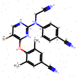 Cc1cc(C#N)cc(C)c1Oc1nc(N(CC#N)c2ccc(C#N)cc2)ncc1Br